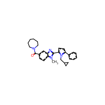 Cn1c(-c2ccc(-c3ccccc3)n2CC2CC2)nc2cc(C(=O)N3CCCCCC3)ccc21